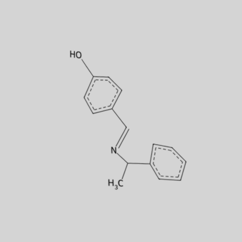 CC(N=Cc1ccc(O)cc1)c1ccccc1